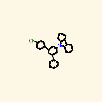 Clc1ccc(-c2cc(-c3ccccc3)cc(-n3c4ccccc4c4ccccc43)c2)cc1